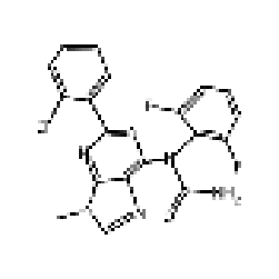 Cn1cnc2c(N(C(N)=O)c3c(F)cccc3F)nc(-c3ccccc3Cl)nc21